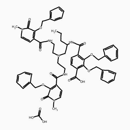 CCCC(CN(CCNC(=O)c1ccn(C)c(=O)c1OCc1ccccc1)CCNC(=O)c1ccn(C)c(=O)c1OCc1ccccc1)NC(=O)c1ccc(C(=O)O)c(OCc2ccccc2)c1OCc1ccccc1.O=C(O)O